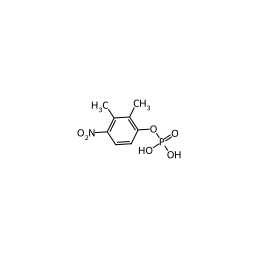 Cc1c(OP(=O)(O)O)ccc([N+](=O)[O-])c1C